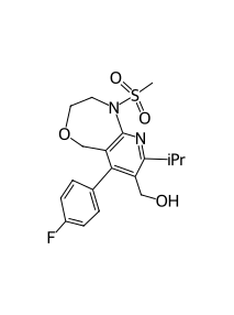 CC(C)c1nc2c(c(-c3ccc(F)cc3)c1CO)COCCN2S(C)(=O)=O